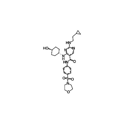 O=C(Nc1ccc(S(=O)(=O)N2CCOCC2)cc1)c1cnc(NCCC2CC2)nc1N[C@H]1CC[C@H](O)CC1